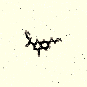 CCOC(=O)c1cc(=O)c2ccc(OCC)cc2o1